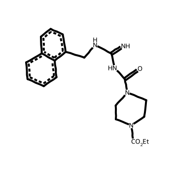 CCOC(=O)N1CCN(C(=O)NC(=N)NCc2cccc3ccccc23)CC1